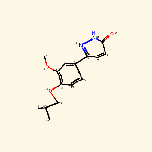 COc1cc(-c2ccc(=O)[nH]n2)ccc1OCC(C)C